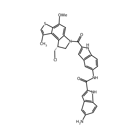 COc1cc2c(c3c(C)csc13)[C@@H](CCl)CN2C(=O)c1cc2cc(NC(=O)c3cc4cc(N)ccc4[nH]3)ccc2[nH]1